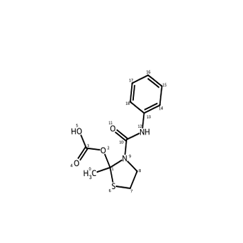 CC1(OC(=O)O)SCCN1C(=O)Nc1ccccc1